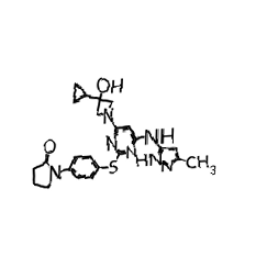 Cc1cc(Nc2cc(N3CC(O)(C4CC4)C3)nc(Sc3ccc(N4CCCC4=O)cc3)n2)[nH]n1